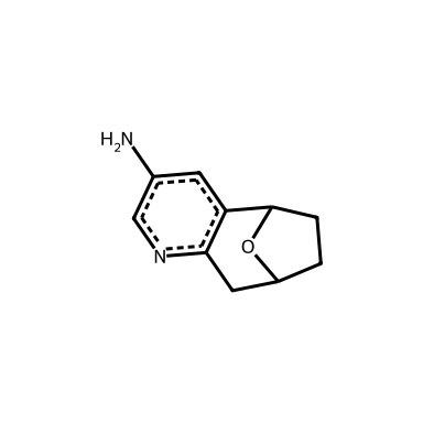 Nc1cnc2c(c1)C1CCC(C2)O1